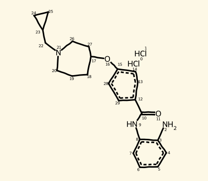 Cl.Cl.Nc1ccccc1NC(=O)c1ccc(OC2CCCN(CC3CC3)CC2)cc1